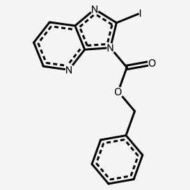 O=C(OCc1ccccc1)n1c(I)nc2cccnc21